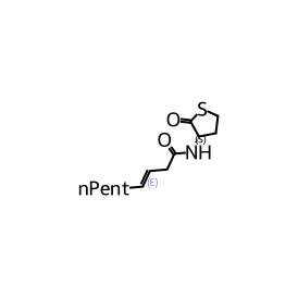 CCCCC/C=C/CC(=O)N[C@H]1CCSC1=O